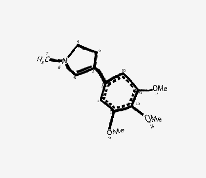 COc1cc(C2=CN(C)CC2)cc(OC)c1OC